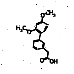 COc1ccc(-c2cccc(CC(=O)O)c2)c(OC)c1